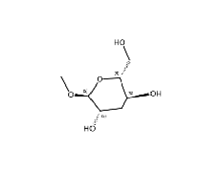 CO[C@H]1O[C@H](CO)[C@@H](O)C[C@@H]1O